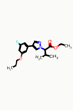 CCCOc1cc(F)cc(-c2cnn(C(C(=O)OCC)C(C)C)c2)c1